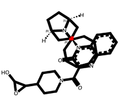 O=C(c1nc2ccccc2n([C@H]2C[C@H]3CC[C@@H](C2)N3C2CCCCCCC2)c1=O)N1CCC(C2OC2O)CC1